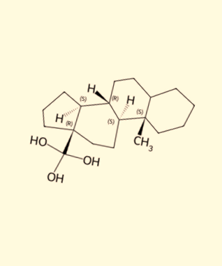 C[C@]12CCCCC1CC[C@H]1[C@@H]3CCC[C@@]3(C(O)(O)O)CC[C@@H]12